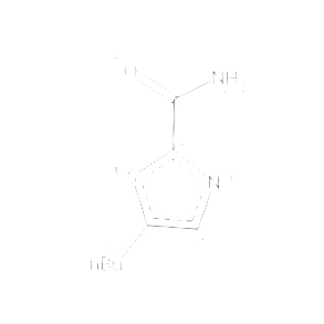 CCCCc1cnc(C(N)=O)s1